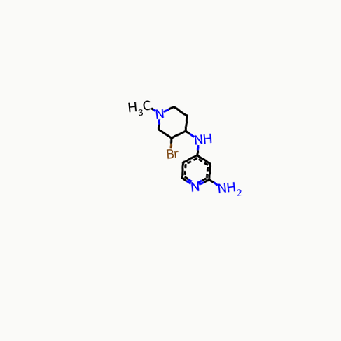 CN1CCC(Nc2ccnc(N)c2)C(Br)C1